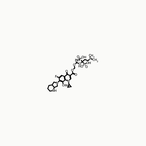 COc1c(N2CC3CCCNC3C2)c(F)cc2c(=O)c(C(=O)OCOC(=O)OC(CCN(C)C)(P(=O)(O)O)P(=O)(O)O)cn(C3CC3)c12